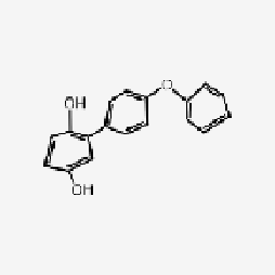 Oc1ccc(O)c(-c2ccc(Oc3ccccc3)cc2)c1